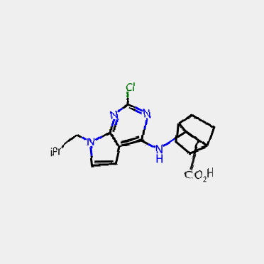 CC(C)Cn1ccc2c(NC3C4CCC(CC4)C3C(=O)O)nc(Cl)nc21